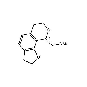 CNC[C@H]1OCCc2ccc3c(c21)OCC3